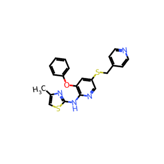 Cc1csc(Nc2ncc(SCc3ccncc3)cc2Oc2ccccc2)n1